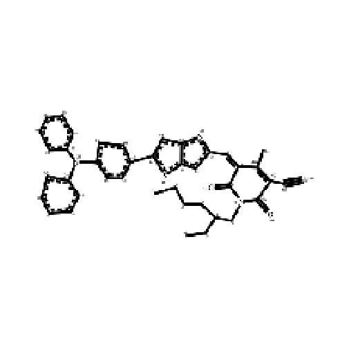 CCCCC(CC)CN1C(=O)C(=Cc2cc3sc(-c4ccc(N(c5ccccc5)c5ccccc5)cc4)cc3s2)C(C)=C(C#N)C1=O